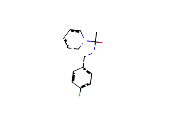 CC(O)(NCc1ccc(Cl)cc1)N1C=CC=CC1